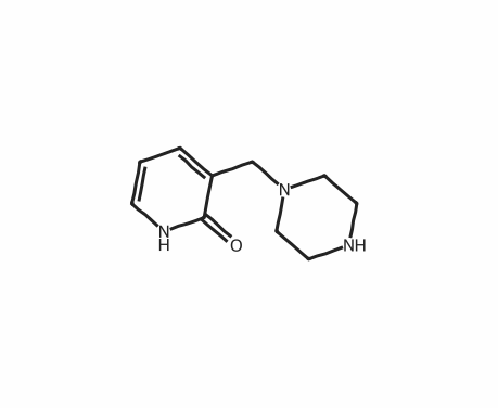 O=c1[nH]cccc1CN1CCNCC1